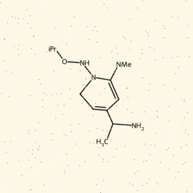 CNC1=CC(C(C)N)=CCN1NOC(C)C